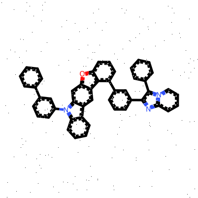 c1ccc(-c2cccc(-n3c4ccccc4c4cc5c(cc43)oc3cccc(-c4cccc(-c6nc7ccccn7c6-c6ccccc6)c4)c35)c2)cc1